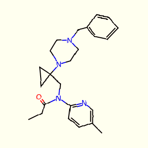 CCC(=O)N(CC1(N2CCN(Cc3ccccc3)CC2)CC1)c1ccc(C)cn1